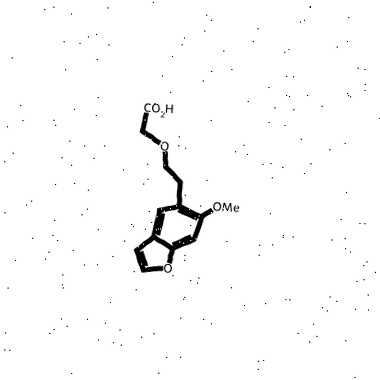 COc1cc2occc2cc1CCOCC(=O)O